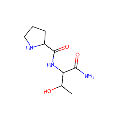 CC(O)C(NC(=O)C1CCCN1)C(N)=O